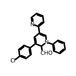 O=CC1C(c2ccc(Cl)cc2)=CC(c2ccccn2)=CN1c1ccccc1